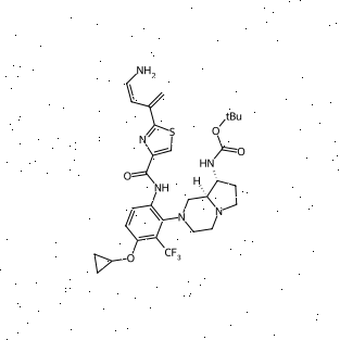 C=C(/C=C\N)c1nc(C(=O)Nc2ccc(OC3CC3)c(C(F)(F)F)c2N2CCN3CC[C@@H](NC(=O)OC(C)(C)C)[C@@H]3C2)cs1